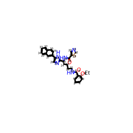 CCOc1ccccc1C(=O)NCCCC[C@H](NC(=O)c1cncs1)c1ncc(-c2ccc3ccccc3c2)[nH]1